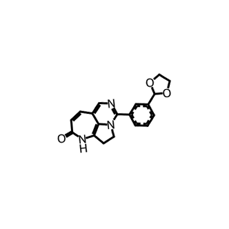 O=C1C=CC2=CN=C(c3cccc(C4OCCO4)c3)N3CCC(=C23)N1